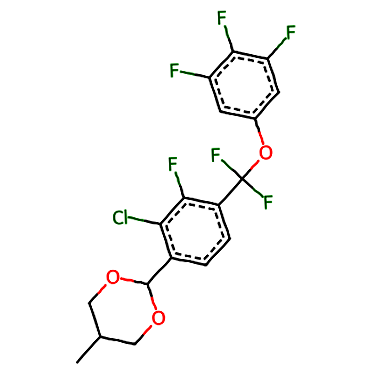 CC1COC(c2ccc(C(F)(F)Oc3cc(F)c(F)c(F)c3)c(F)c2Cl)OC1